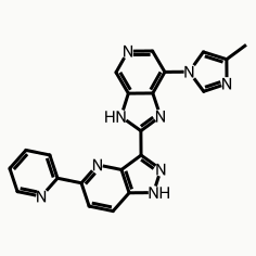 Cc1cn(-c2cncc3[nH]c(-c4n[nH]c5ccc(-c6ccccn6)nc45)nc23)cn1